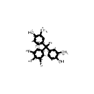 Cc1cc(C(F)(c2ccc(O)c(C)c2)c2cc(F)c(F)c(F)c2F)ccc1O